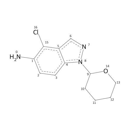 Nc1ccc2c(cnn2C2CCCCO2)c1Cl